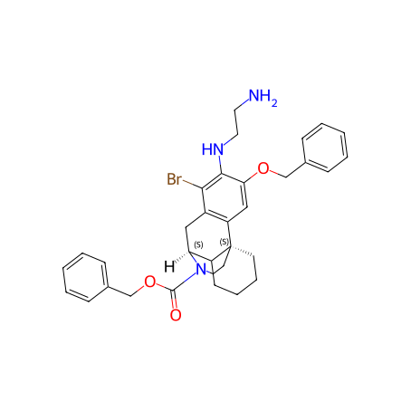 NCCNc1c(OCc2ccccc2)cc2c(c1Br)C[C@H]1C3CCCC[C@@]23CCN1C(=O)OCc1ccccc1